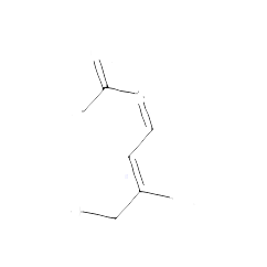 C=C(Cl)/N=C\C=C(/C)CCl